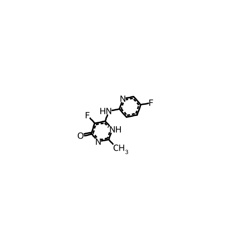 Cc1nc(=O)c(F)c(Nc2ccc(F)cn2)[nH]1